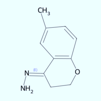 Cc1ccc2c(c1)/C(=N/N)CCO2